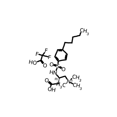 CCCCCc1ccc(S(=O)(=O)N[C@H](CC(=O)O)C[N+](C)(C)C)cc1.O=C(O)C(F)(F)F